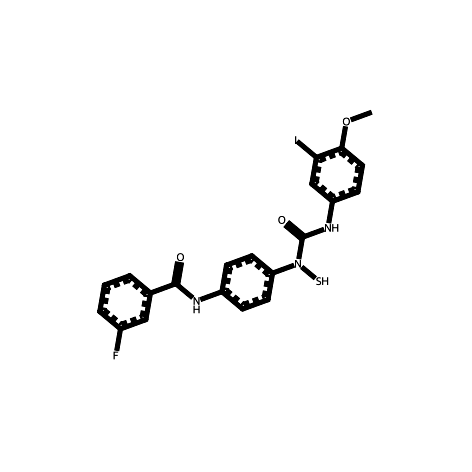 COc1ccc(NC(=O)N(S)c2ccc(NC(=O)c3cccc(F)c3)cc2)cc1I